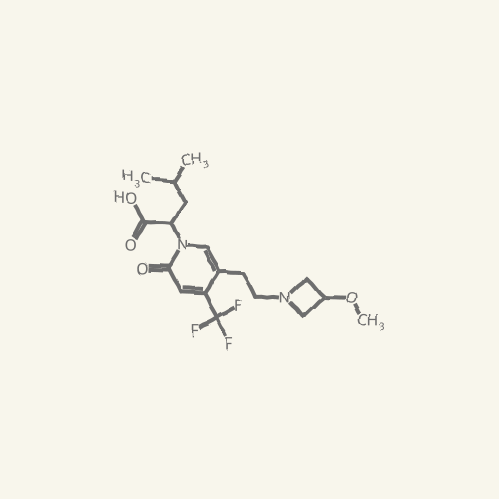 COC1CN(CCc2cn(C(CC(C)C)C(=O)O)c(=O)cc2C(F)(F)F)C1